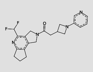 O=C(CC1CN(c2cccnc2)C1)N1Cc2c(C(F)F)nc3c(c2C1)CCC3